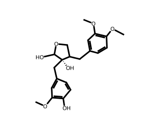 COc1cc(C[C@]2(O)C(Cc3ccc(OC)c(OC)c3)COC2O)ccc1O